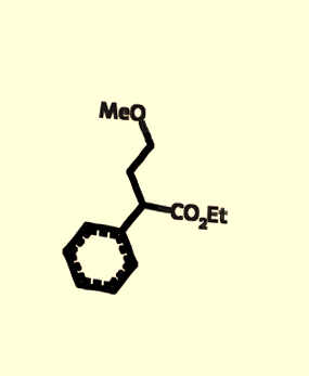 CCOC(=O)C(CCOC)c1ccccc1